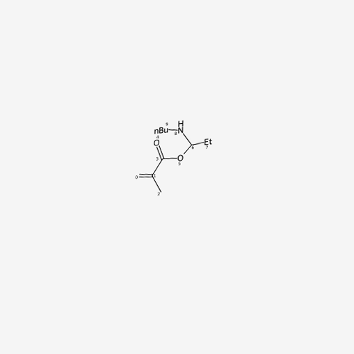 C=C(C)C(=O)OC(CC)NCCCC